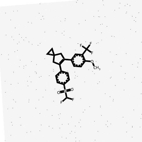 COc1ccc(C2=C(c3ccc(S(=O)(=O)C(F)F)cc3)CC3(CC3)C2)cc1C(F)(F)F